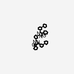 c1ccc(-c2cccc(-c3nc(-c4cccc(-c5nc(-c6cccc(-c7ccccc7)c6)c6c(n5)oc5ccccc56)c4)nc4oc5ccccc5c34)c2)cc1